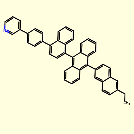 CCc1ccc2cc(-c3c4ccccc4c(-c4ccc(-c5ccc(-c6cccnc6)cc5)c5ccccc45)c4ccccc34)ccc2c1